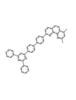 Cc1cc(C)c2ccc3ccc(-c4ccc(-c5ccc(-c6cc(-c7ccccc7)nc(-c7ccccc7)n6)cc5)cc4)nc3c2n1